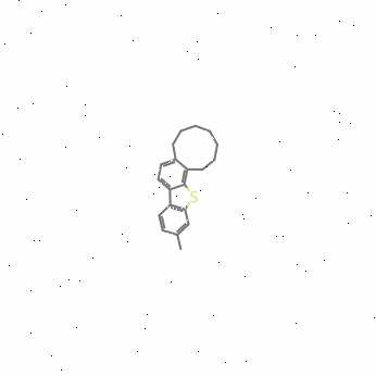 Cc1ccc2c(c1)sc1c3c(ccc12)CCCCCCC3